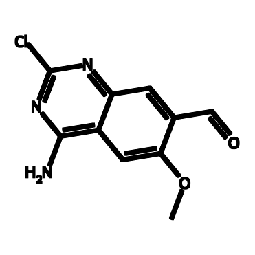 COc1cc2c(N)nc(Cl)nc2cc1C=O